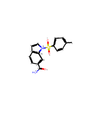 Cc1ccc(S(=O)(=O)n2ccc3ccc(C(N)=O)cc32)cc1